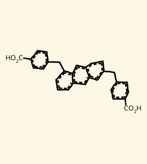 O=C(O)c1ccc(Cc2ccc3cc4c(Cc5ccc(C(=O)O)cc5)cccc4cc3c2)cc1